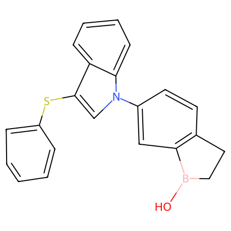 OB1CCc2ccc(-n3cc(Sc4ccccc4)c4ccccc43)cc21